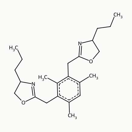 CCCC1COC(Cc2c(C)cc(C)c(CC3=NC(CCC)CO3)c2C)=N1